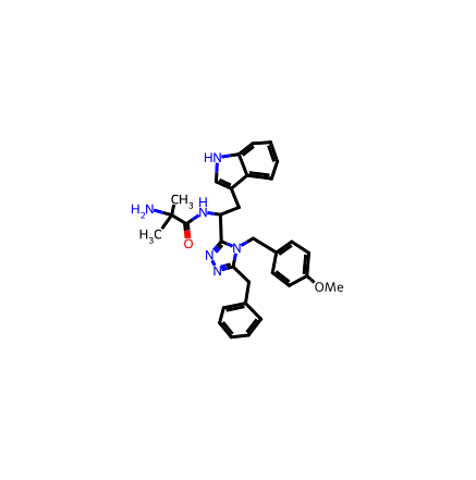 COc1ccc(Cn2c(Cc3ccccc3)nnc2C(Cc2c[nH]c3ccccc23)NC(=O)C(C)(C)N)cc1